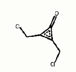 O=c1c(CCl)c1CCl